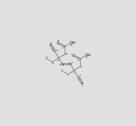 CCC(C#N)(CC(=O)O)N=NC(C#N)(CC)CC(=O)O